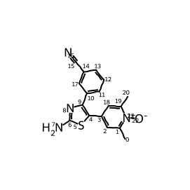 Cc1cc(-c2sc(N)nc2-c2cccc(C#N)c2)cc(C)[n+]1[O-]